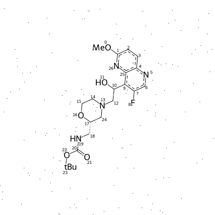 COc1ccc2ncc(F)c(C(O)CN3CCO[C@@H](CNC(=O)OC(C)(C)C)C3)c2n1